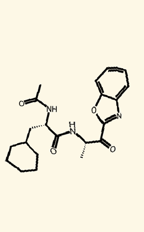 CC(=O)N[C@@H](CC1CCCCC1)C(=O)N[C@@H](C)C(=O)c1nc2ccccc2o1